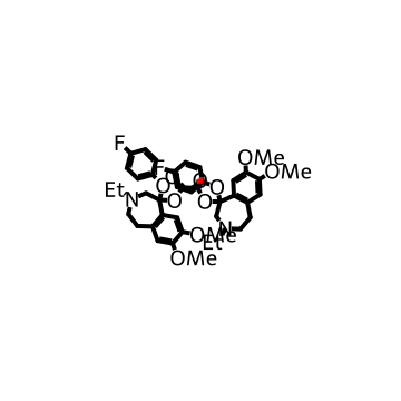 CCN1CCc2cc(OC)c(OC)cc2C(OC(=O)C(=O)OC2(Oc3ccc(F)cc3)CN(CC)CCc3cc(OC)c(OC)cc32)(Oc2ccc(F)cc2)C1